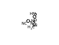 Cn1ncc2c(Oc3ccc4[nH]ccc4c3)nc(-c3cccc(C#N)c3)nc21